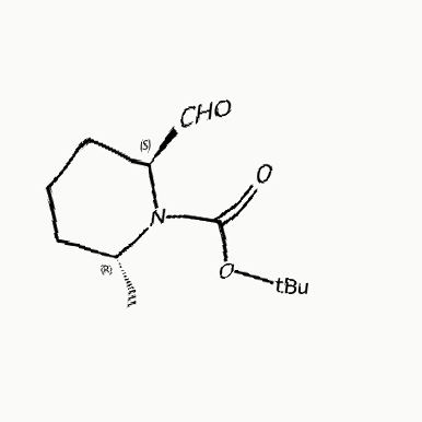 C[C@@H]1CCC[C@@H](C=O)N1C(=O)OC(C)(C)C